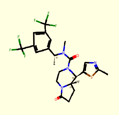 Cc1ncc([C@H]2[C@@H]3CCC(=O)N3CCN2C(=O)N(C)[C@H](C)c2cc(C(F)(F)F)cc(C(F)(F)F)c2)s1